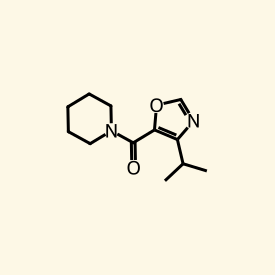 CC(C)c1ncoc1C(=O)N1CCCCC1